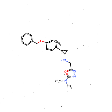 C=C(/C=C\C(=C/C)OCc1ccccc1)[C@H]1C[C@@H]1NCc1nnc(N(C)C)o1